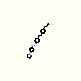 CCCCc1ccc(/C=C/c2ccc(NNc3ccc(N4CCCC4)cc3)cc2)cc1